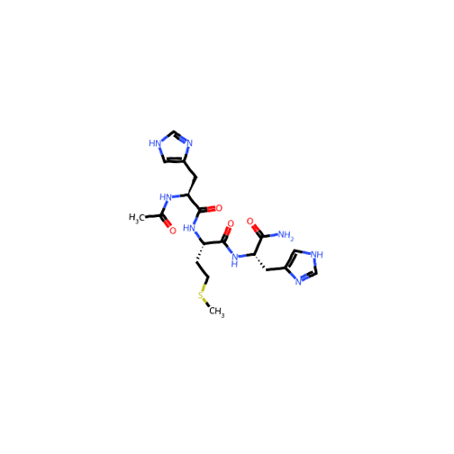 CSCC[C@H](NC(=O)[C@H](Cc1c[nH]cn1)NC(C)=O)C(=O)N[C@@H](Cc1c[nH]cn1)C(N)=O